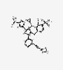 NS(=O)(=O)c1ccc(Cc2c(-c3cccc(C#CC4COC4)c3)nn(-c3nc(C(=O)O)cs3)c2CC2CC2)cc1F